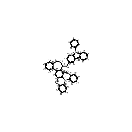 c1ccc(-n2c3ccccc3c3cc(CC4CCc5ccccc5-c5cc6c7c(c54)Oc4ccccc4N7c4ccccc4O6)ccc32)cc1